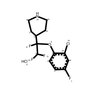 Cl.Fc1ccc(OC(F)(C(F)F)C2CCNCC2)c(Cl)c1